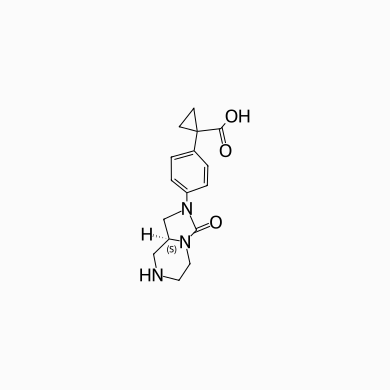 O=C1N(c2ccc(C3(C(=O)O)CC3)cc2)C[C@@H]2CNCCN12